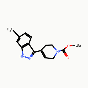 Cc1ccc2c(C3=CCN(C(=O)OC(C)(C)C)CC3)n[nH]c2c1